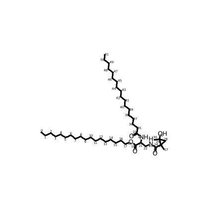 CCCCCCCCCCCCCCCCCCOC(=O)C(CNC(=O)C1(C)CC1(C)O)NC(=O)CCCCCCCCCCCCCCCCC